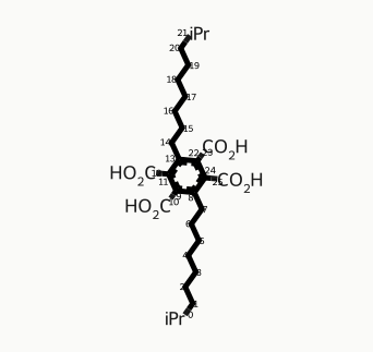 CC(C)CCCCCCCc1c(C(=O)O)c(C(=O)O)c(CCCCCCCC(C)C)c(C(=O)O)c1C(=O)O